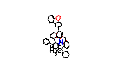 CC1(C)c2ccccc2-c2cccc(N(c3ccc(-c4ccc5oc6ccccc6c5c4)cc3)c3cccc(-c4ccccc4)c3-c3ccccc3-c3ccccc3)c21